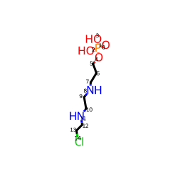 O=P(O)(O)OCCCNCCNCCCl